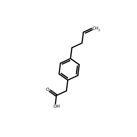 C=CCCc1ccc(CC(=O)O)cc1